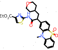 CCOC(=O)c1csc(NC(=O)C(CC2CCOCC2)c2ccc3c(c2)N(C)c2ccccc2S3(=O)=O)n1